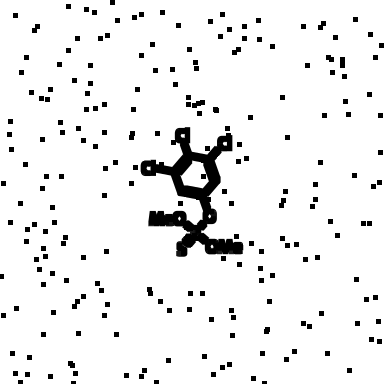 COP(=S)(OC)Oc1cc(Cl)c(Cl)c(Cl)c1